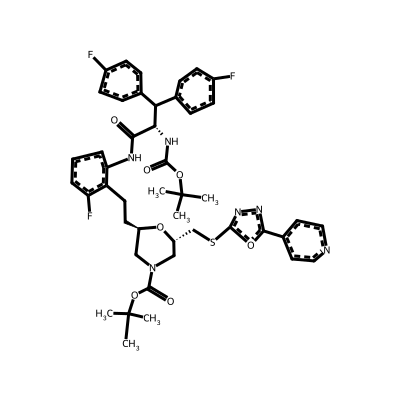 CC(C)(C)OC(=O)N[C@H](C(=O)Nc1cccc(F)c1CC[C@@H]1CN(C(=O)OC(C)(C)C)C[C@@H](CSc2nnc(-c3ccncc3)o2)O1)C(c1ccc(F)cc1)c1ccc(F)cc1